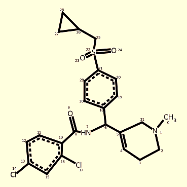 CN1CCC=C(C(NC(=O)c2ccc(Cl)cc2Cl)c2ccc(S(=O)(=O)CC3CC3)cc2)C1